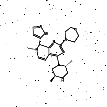 C[C@@H]1CN[C@@H](C)CN1c1cc(N2CCOCC2)nc2c1C=CN(C)C2c1ccn[nH]1